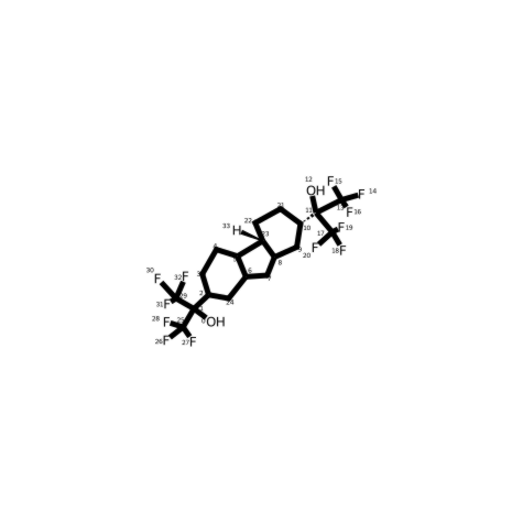 OC(C1CCC2C(CC3C[C@@H](C(O)(C(F)(F)F)C(F)(F)F)CC[C@H]32)C1)(C(F)(F)F)C(F)(F)F